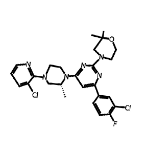 C[C@@H]1CN(c2ncccc2Cl)CCN1c1cc(-c2ccc(F)c(Cl)c2)nc(N2CCOC(C)(C)C2)n1